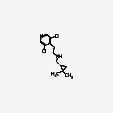 CC1(C)C[C@H]1CNCCc1c(Cl)cncc1Cl